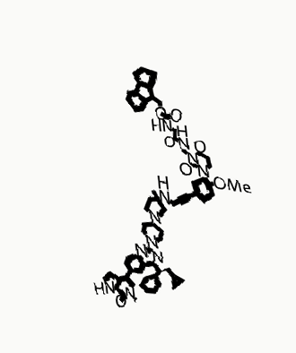 COc1ccc(C#CCNC2(C)CCN(C3CCN(c4nc([C@@H](CC5CC5)c5ccccc5)c5cc(-c6cn(C)c(=O)c7[nH]ccc67)ccc5n4)CC3)CC2)cc1N1CCC(=O)N(CNC(=O)CNC(=O)OCC2c3ccccc3-c3ccccc32)C1=O